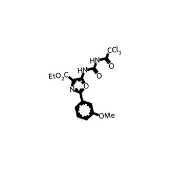 CCOC(=O)c1nc(-c2cccc(OC)c2)oc1NC(=O)NC(=O)C(Cl)(Cl)Cl